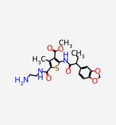 CCC(C(=O)Nc1sc(C(=O)NCCN)c(C)c1C(=O)OC)c1ccc2c(c1)OCO2